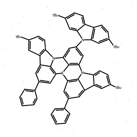 CC(C)(C)c1ccc2c(c1)c1cc(-c3ccccc3)cc3c1n2-c1cc(-n2c4cc(C(C)(C)C)ccc4c4ccc(C(C)(C)C)cc42)cc2c1B3c1cc(-c3ccccc3)cc3c4cc(C(C)(C)C)ccc4n-2c13